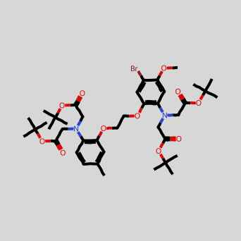 COc1cc(N(CC(=O)OC(C)(C)C)CC(=O)OC(C)(C)C)c(OCCOc2cc(C)ccc2N(CC(=O)OC(C)(C)C)CC(=O)OC(C)(C)C)cc1Br